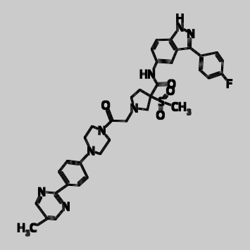 Cc1cnc(-c2ccc(N3CCN(C(=O)CN4CCC(C(=O)Nc5ccc6[nH]nc(-c7ccc(F)cc7)c6c5)(S(C)(=O)=O)C4)CC3)cc2)nc1